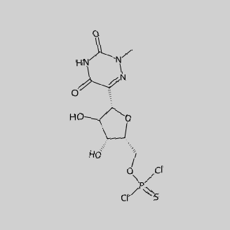 Cn1nc([C@@H]2O[C@H](COP(=S)(Cl)Cl)[C@H](O)C2O)c(=O)[nH]c1=O